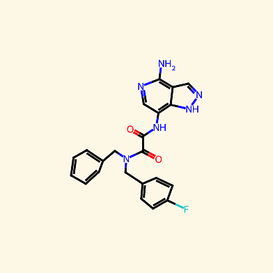 Nc1ncc(NC(=O)C(=O)N(Cc2ccccc2)Cc2ccc(F)cc2)c2[nH]ncc12